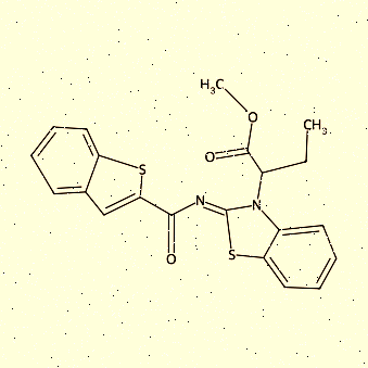 CCC(C(=O)OC)n1c(=NC(=O)c2cc3ccccc3s2)sc2ccccc21